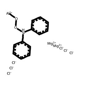 [Al+2][O]O[SiH](c1ccccc1)c1ccccc1.[Cl-].[Cl-].[Cl-].[Cl-].[Cl-].[Cl-].[Mg+2].[Mg+2]